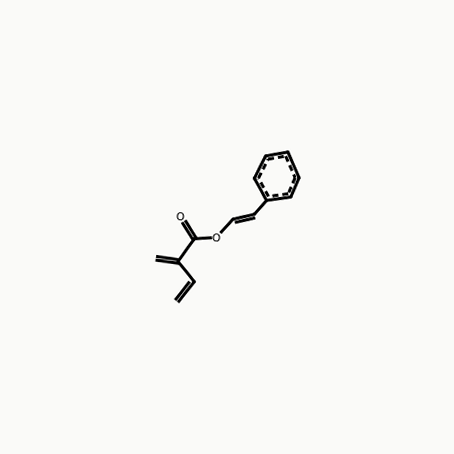 C=CC(=C)C(=O)OC=Cc1ccccc1